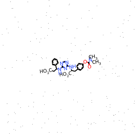 CN(C)C(=O)Oc1ccc(C[C@H](Nc2ncnc(NC(CC(=O)O)c3ccccc3)n2)C(=O)O)cc1